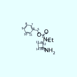 CCN(C(=O)OCc1ccccc1)[C@H]1CC[C@@H]1N